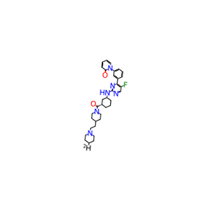 [2H]C1CCN(CCC2CCN(C(=O)[C@@H]3CCC[C@H](Nc4ncc(F)c(-c5cccc(-n6ccccc6=O)c5)n4)C3)CC2)CC1